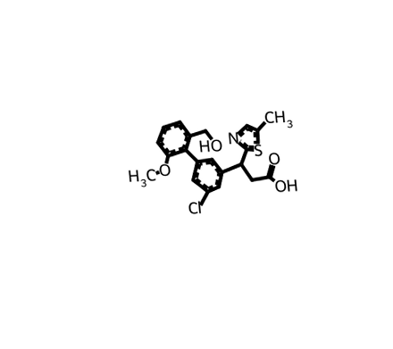 COc1cccc(CO)c1-c1cc(Cl)cc(C(CC(=O)O)c2ncc(C)s2)c1